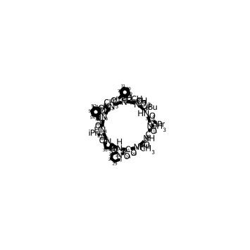 CC[C@H](C)[C@@H]1NC(=O)[C@H](CC(C)C)N(C)C(=O)CNC(=O)[C@H](C)NC(=O)C[C@@H](C(=O)N2CCCCC2)NC(=O)[C@@H]2CCCN2C(=O)[C@H](CC(C)C)NC(=O)[C@H](Cc2ccccc2)NC(=O)[C@H]([C@@H](C)O)NC(=O)[C@H](Cc2ccccc2)N(C)C(=O)[C@H](C)N(C)C1=O